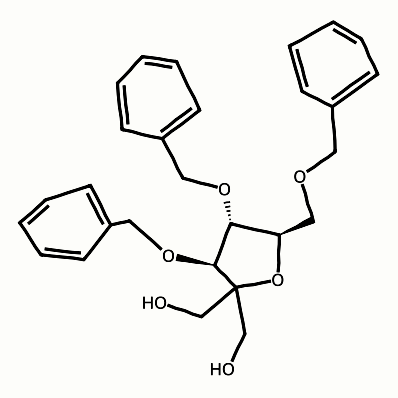 OCC1(CO)O[C@H](COCc2ccccc2)[C@@H](OCc2ccccc2)[C@@H]1OCc1ccccc1